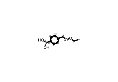 CCOOCc1ccc(B(O)O)cc1